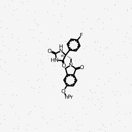 CCCOc1ccc2c(c1)CN(C[C@@]1(c3ccc(F)cc3)NC(=O)NC1=O)C2=O